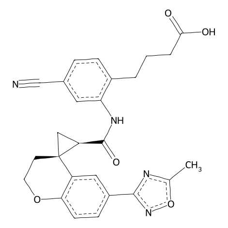 Cc1nc(-c2ccc3c(c2)[C@]2(CCO3)C[C@H]2C(=O)Nc2cc(C#N)ccc2CCCC(=O)O)no1